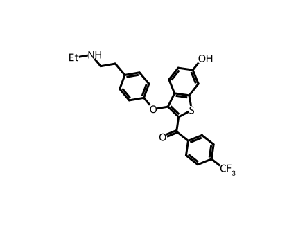 CCNCCc1ccc(Oc2c(C(=O)c3ccc(C(F)(F)F)cc3)sc3cc(O)ccc23)cc1